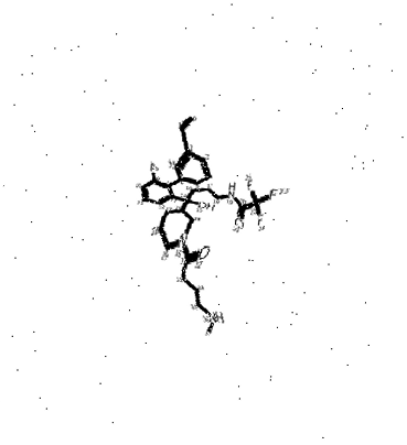 CCc1cccc(-c2c(F)cccc2C(O)(CCCNC(=O)C(F)(F)F)C2CCCN(C(=O)CCCNC)C2)c1